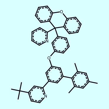 Cc1cc(C)c(-c2cc(Oc3cccc(C4(c5ccccn5)c5ccccc5Oc5ccccc54)c3)cc(-c3cc(C(C)(C)C)ccn3)c2)c(C)c1